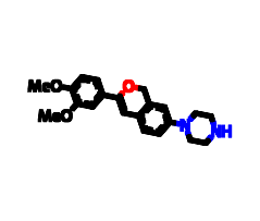 COc1ccc(C2=Cc3ccc(N4CCNCC4)cc3CO2)cc1OC